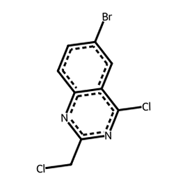 ClCc1nc(Cl)c2cc(Br)ccc2n1